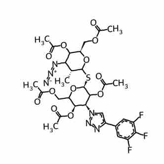 CC(=O)OCC1O[C@@H](SC2O[C@H](COC(C)=O)C(OC(C)=O)C(N=[N+]=[N-])[C@H]2C)C(OC(C)=O)[C@@H](n2cc(-c3cc(F)c(F)c(F)c3)nn2)[C@H]1OC(C)=O